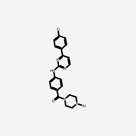 CC(=O)N1CCN(C(=O)c2ccc(Nc3nccc(-c4ccc(Cl)cc4)n3)cc2)CC1